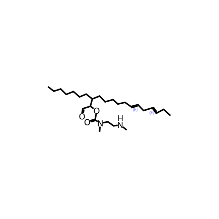 CC/C=C/C/C=C/CCCCCC(CCCCCCC)C(C=O)OC(=O)N(C)CCNC